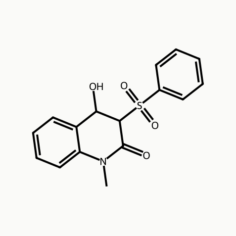 CN1C(=O)C(S(=O)(=O)c2ccccc2)C(O)c2ccccc21